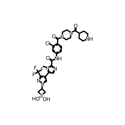 Cn1c(-c2cn(C3CS(O)(O)C3)nc2C(F)(F)F)cnc1C(=O)Nc1ccc(C(=O)N2CCN(C(=O)C3CCNCC3)CC2)c(Cl)c1